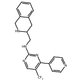 FC(F)(F)c1cnc(NCC2Cc3ccccc3CN2)nc1-c1ccncc1